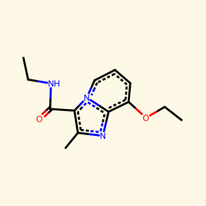 CCNC(=O)c1c(C)nc2c(OCC)cccn12